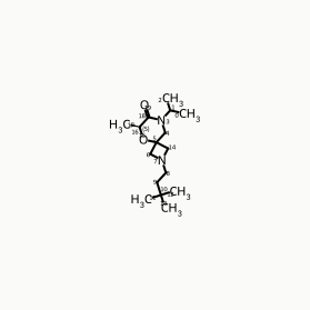 CC(C)N1CC2(CN(CCC(C)(C)C)C2)O[C@@H](C)C1=O